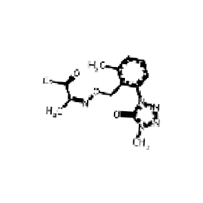 CCC(=O)C(C)=NOCc1c(C)cccc1-n1nnn(C)c1=O